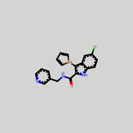 O=C(NCc1cccnc1)c1[nH]c2ccc(Cl)cc2c1[SH]1C=CC=C1